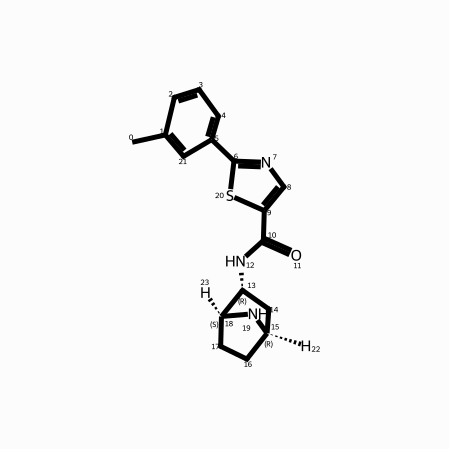 Cc1cccc(-c2ncc(C(=O)N[C@@H]3C[C@H]4CC[C@@H]3N4)s2)c1